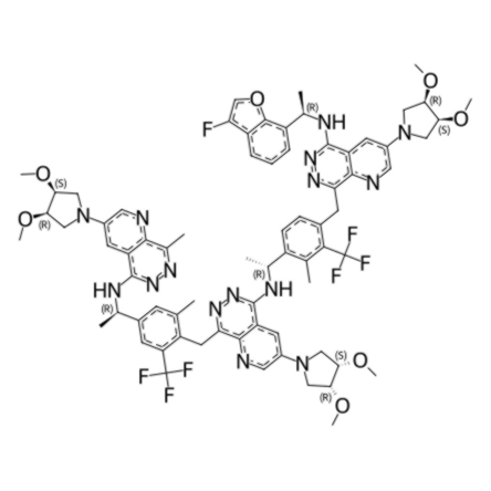 CO[C@H]1CN(c2cnc3c(C)nnc(N[C@H](C)c4cc(C)c(Cc5nnc(N[C@H](C)c6ccc(Cc7nnc(N[C@H](C)c8cccc9c(F)coc89)c8cc(N9C[C@H](OC)[C@H](OC)C9)cnc78)c(C(F)(F)F)c6C)c6cc(N7C[C@H](OC)[C@H](OC)C7)cnc56)c(C(F)(F)F)c4)c3c2)C[C@H]1OC